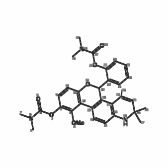 COc1c(OC(=O)N(C)C)ccc2c1-c1ccc3c(c1C(c1ccccc1OC(=O)N(C)C)O2)C(C)=CC(C)(C)N3